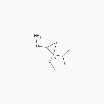 CO[C@@]1(C(C)C)CC1ON